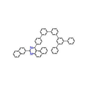 c1ccc(-c2cc(-c3ccccc3)cc(-c3cccc(-c4cccc(-c5ccc(-c6nc(-c7ccc8ccccc8c7)nc7ccc8ccccc8c67)cc5)c4)c3)c2)cc1